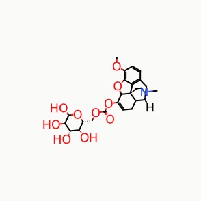 COc1ccc2c3c1OC1C(OC(=O)OC[C@H]4OC(O)[C@H](O)[C@@H](O)[C@H]4O)=CCC4[C@@H](C2)N(C)CC[C@]314